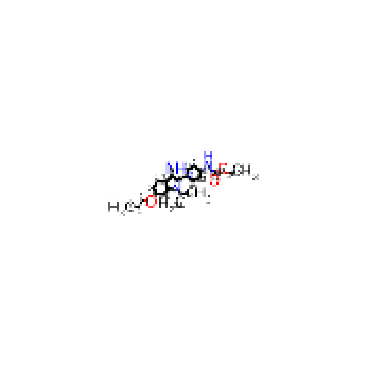 CCCOc1ccc2c(N)c(-c3ccc(NC(=O)OCC)cc3)n(C(C)C)c2c1